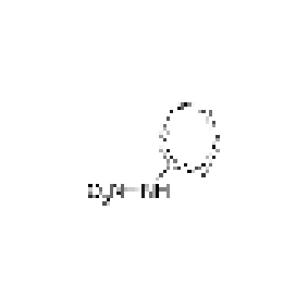 O=[N+]([O-])Nc1ccccc1